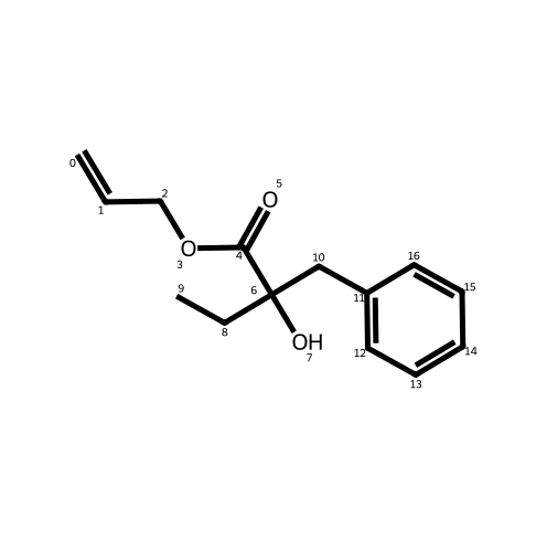 C=CCOC(=O)C(O)(CC)Cc1ccccc1